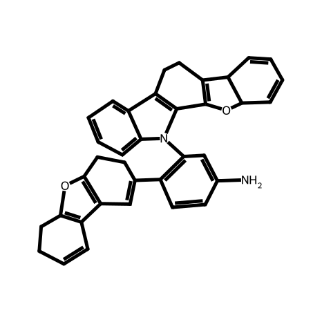 Nc1ccc(C2=Cc3c(oc4c3C=CCC4)CC2)c(-n2c3c(c4ccccc42)CCC2=C3OC3C=CC=CC23)c1